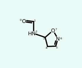 O=CNC1CC=NO1